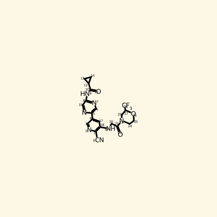 N#Cc1ncc(-c2cnc(NC(=O)C3CC3)cn2)cc1NCC(=O)N1CCOC(C(F)(F)F)C1